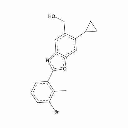 Cc1c(Br)cccc1-c1nc2cc(CO)c(C3CC3)cc2o1